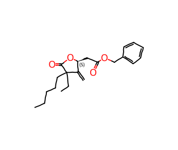 C=C1[C@H](CC(=O)OCc2ccccc2)OC(=O)C1(CC)CCCCC